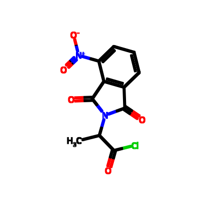 CC(C(=O)Cl)N1C(=O)c2cccc([N+](=O)[O-])c2C1=O